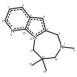 CN1Cc2cc3cccnc3n2CC(C)(C)C1